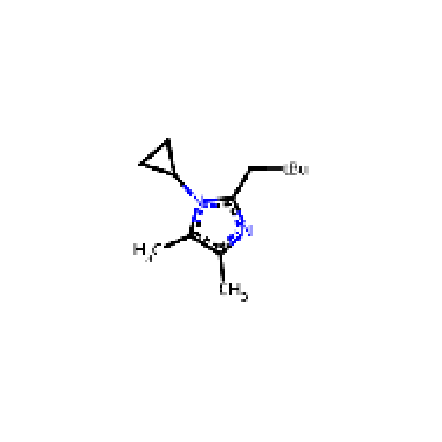 Cc1nc(CC(C)(C)C)n(C2CC2)c1C